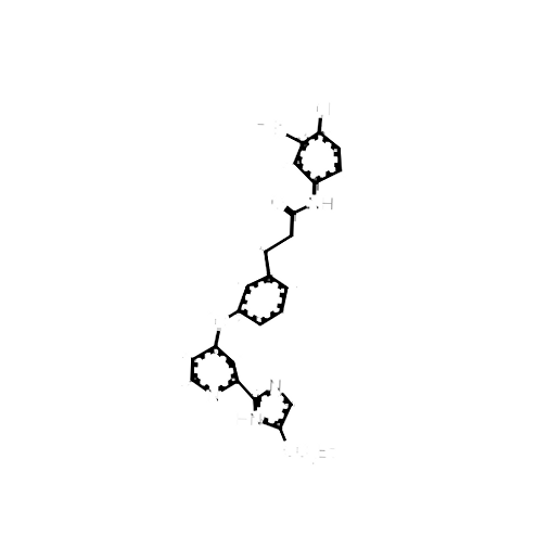 CCOC(=O)c1cnc(-c2cc(Oc3cccc(CCC(=O)Nc4ccc(Cl)c(C(F)(F)F)c4)c3)ccn2)[nH]1